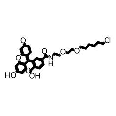 O=C(NCCOCCOCCCCCCCl)c1ccc(C(=O)O)c(-c2c3ccc(=O)cc-3oc3cc(O)ccc23)c1